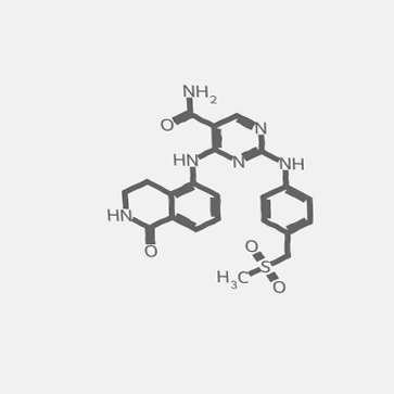 CS(=O)(=O)Cc1ccc(Nc2ncc(C(N)=O)c(Nc3cccc4c3CCNC4=O)n2)cc1